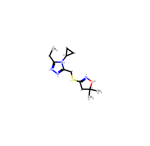 CCc1nnc(CSC2=NOC(C)(C)C2)n1C1CC1